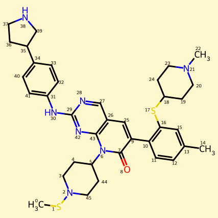 CSN1CCC(n2c(=O)c(-c3ccc(C)cc3SC3CCN(C)CC3)cc3cnc(Nc4ccc(C5CCNC5)cc4)nc32)CC1